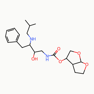 CC(C)CNC(Cc1ccccc1)C(O)CNC(=O)OC1COC2OCCC12